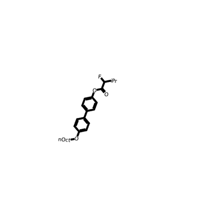 CCCCCCCCOc1ccc(-c2ccc(OC(=O)C(F)C(C)C)cc2)cc1